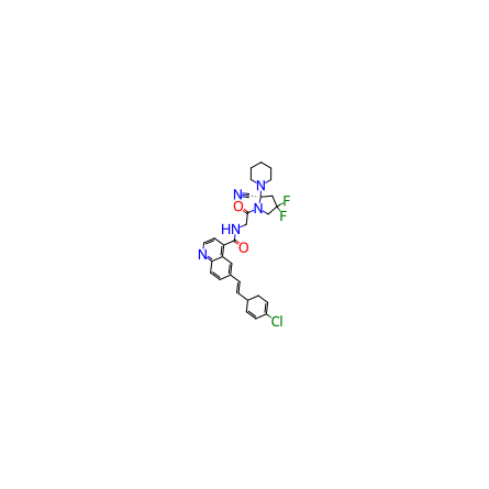 N#C[C@]1(N2CCCCC2)CC(F)(F)CN1C(=O)CNC(=O)c1ccnc2ccc(/C=C/C3C=CC(Cl)=CC3)cc12